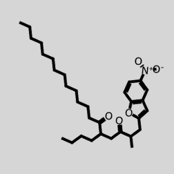 CCCCCCCCCCCCCC(=O)C(CCCC)CC(=O)C(C)Cc1cc2cc([N+](=O)[O-])ccc2o1